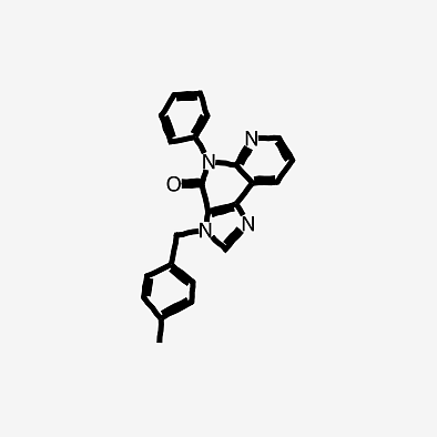 Cc1ccc(Cn2cnc3c4cccnc4n(-c4ccccc4)c(=O)c32)cc1